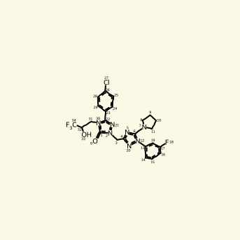 O=c1n(Cc2nc(N3CCCC3)n(-c3cccc(F)c3)n2)nc(-c2ccc(Cl)cc2)n1CC(O)C(F)(F)F